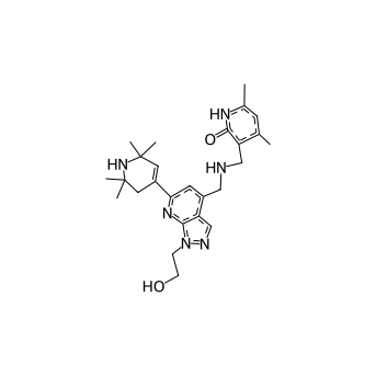 Cc1cc(C)c(CNCc2cc(C3=CC(C)(C)NC(C)(C)C3)nc3c2cnn3CCO)c(=O)[nH]1